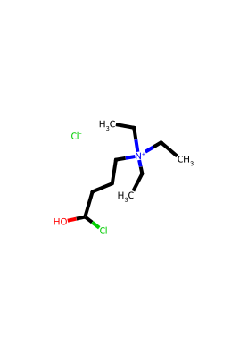 CC[N+](CC)(CC)CCCC(O)Cl.[Cl-]